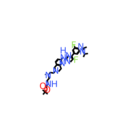 Cc1nc2c(F)cc(-c3nc(Nc4ccc5c(n4)CCN(CCN(C)CCNC(=O)OC(C)(C)C)C5)ncc3F)cc2n1C(C)C